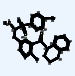 CN(Cc1ccc(Br)c(C(=O)N2CCCc3ccccc32)c1)S(=O)(=O)c1ccc(Br)cc1